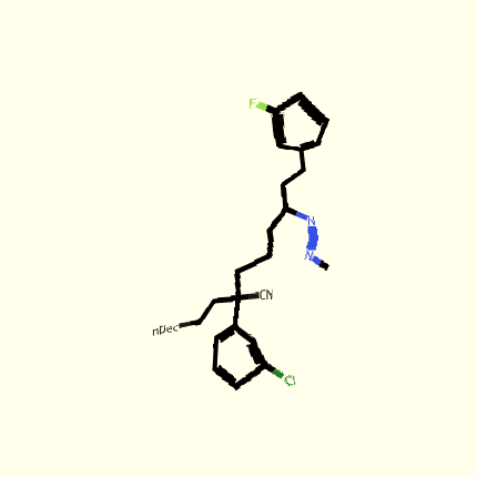 CCCCCCCCCCCCC(C#N)(CCCC(CCc1cccc(F)c1)/N=N/C)c1cccc(Cl)c1